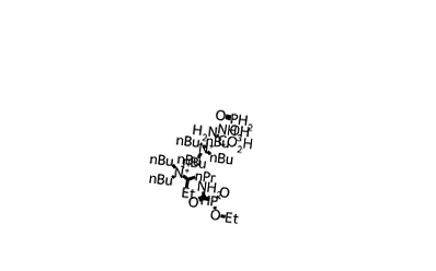 CCCC[N+](CCCC)(CCCC)C(CC)CCC.CCCC[N+](CCCC)(CCCC)CCCC.CCO[PH](=O)C(N)=O.N.NC(=O)O.O=[PH2]O